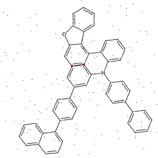 c1ccc(-c2ccc(N(c3cccc(-c4ccc(-c5cccc6ccccc56)cc4)c3)c3ccccc3-c3cccc4oc5ccccc5c34)cc2)cc1